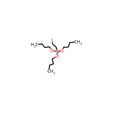 CCCCO[Si](CCI)(OCCCC)OCCCC